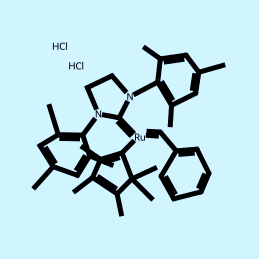 CC1=C(C)C(C)(C)[C]([Ru](=[CH]c2ccccc2)=[C]2N(c3c(C)cc(C)cc3C)CCN2c2c(C)cc(C)cc2C)=C1C.Cl.Cl